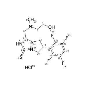 CN(CCO)Cc1[nH]c(=S)n2c1C[C@H](c1c(F)c(F)cc(F)c1F)C2.Cl